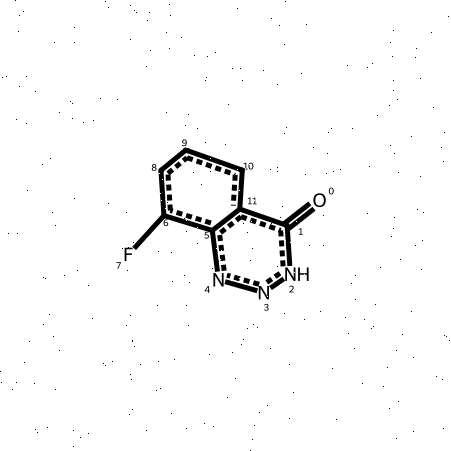 O=c1[nH]nnc2c(F)cccc12